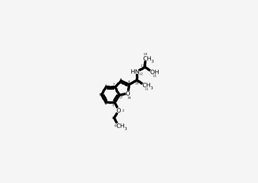 CCOc1cccc2cc(C(C)NC(C)O)oc12